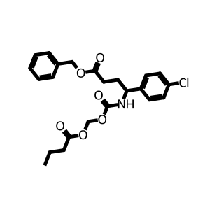 CCCC(=O)OCOC(=O)NC(CCC(=O)OCc1ccccc1)c1ccc(Cl)cc1